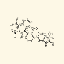 CC[C@H](c1nc2ccc(-c3cnc4c(c3)NC(=O)C4(C)O)cc2n1-c1c(C=O)cccc1OC(F)F)N(C)C